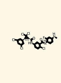 CNc1ccc(NC(=O)c2cc(NC(=O)[C@@H]3[C@@H](c4cc(Cl)cc(Cl)c4)C3(Cl)Cl)ccc2Cl)c(F)c1